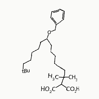 CC(C)(C)CCCCCC(CCCCCC(C)(C)C(C(=O)O)C(=O)O)OCc1ccccc1